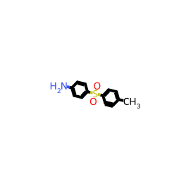 Cc1c#cc(S(=O)(=O)c2ccc(N)cc2)cc1